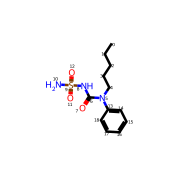 CCCCCN(C(=O)NS(N)(=O)=O)c1ccccc1